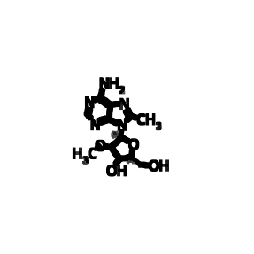 COC1C(O)[C@H](CO)O[C@@H]1n1c(C)nc2c(N)ncnc21